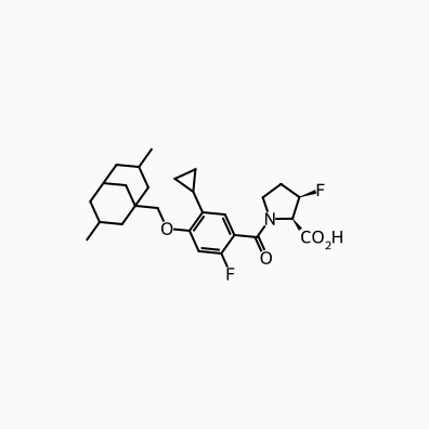 CC1CC2CC(C)CC(COc3cc(F)c(C(=O)N4CC[C@@H](F)[C@H]4C(=O)O)cc3C3CC3)(C1)C2